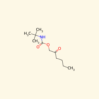 CCCCC(=O)COC(=O)NC(C)(C)C